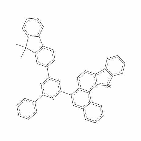 CC1(C)c2ccccc2-c2ccc(-c3nc(-c4ccccc4)nc(-c4cc5ccccc5c5c4ccc4c6ccccc6[se]c45)n3)cc21